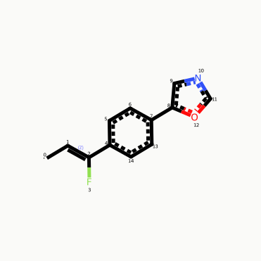 [CH2]/C=C(\F)c1ccc(-c2cnco2)cc1